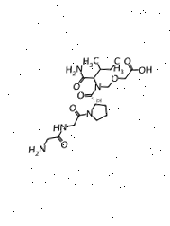 CCC(C)C(C(N)=O)N(COCC(=O)O)C(=O)[C@@H]1CCCN1C(=O)CNC(=O)CN